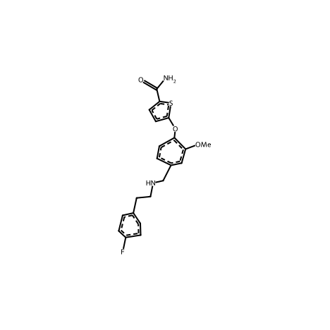 COc1cc(CNCCc2ccc(F)cc2)ccc1Oc1ccc(C(N)=O)s1